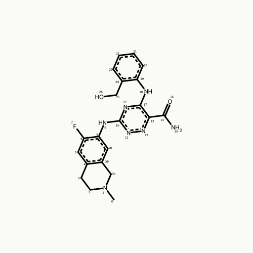 CN1CCc2cc(F)c(Nc3nnc(C(N)=O)c(Nc4ccccc4CO)n3)cc2C1